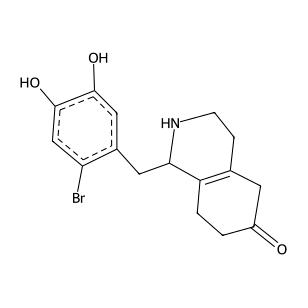 O=C1CCC2=C(CCNC2Cc2cc(O)c(O)cc2Br)C1